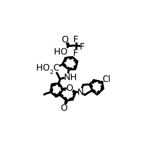 Cc1cc(C(C)Nc2ccccc2C(=O)O)c2oc(N3Cc4ccc(Cl)cc4C3)cc(=O)c2c1.O=C(O)C(F)(F)F